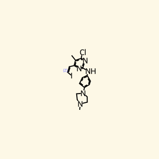 Cc1c(Cl)nc(Nc2ccc(N3CCN(C)CC3)cc2)nc1/C=C\I